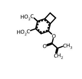 C=C(C)C(=O)Oc1cc(C(=O)O)c(C(=O)O)c2c1CC2